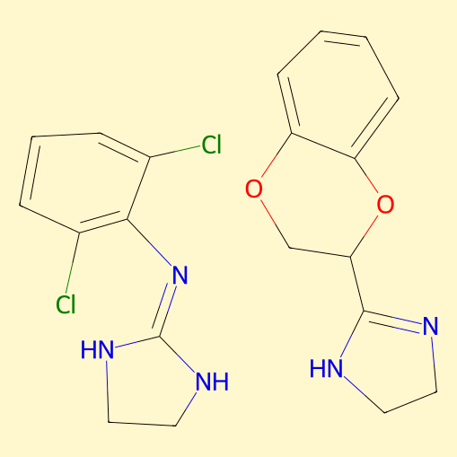 Clc1cccc(Cl)c1N=C1NCCN1.c1ccc2c(c1)OCC(C1=NCCN1)O2